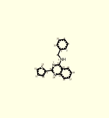 c1ccc(CNc2nc(-c3cccs3)nc3ccccc23)cc1